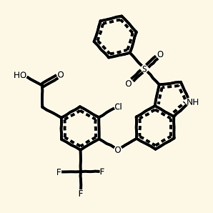 O=C(O)Cc1cc(Cl)c(Oc2ccc3[nH]cc(S(=O)(=O)c4ccccc4)c3c2)c(C(F)(F)F)c1